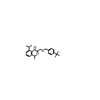 CC(C)c1cccc(C(C)C)c1NC(=O)CSCc1ccc(C(C)(C)C)cc1